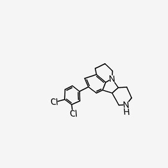 Clc1ccc(-c2cc3c4c(c2)C2CNCCC2N4CCC3)cc1Cl